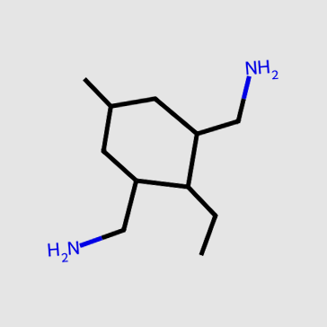 CCC1C(CN)CC(C)CC1CN